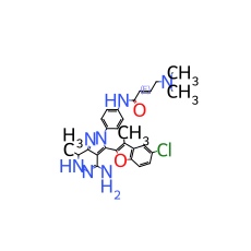 Cc1c(-c2c3c(nn2-c2ccc(NC(=O)/C=C/CN(C)C)cc2)C(C)NN=C3N)oc2ccc(Cl)cc12